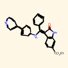 CCOC(=O)c1ccc2c(c1)NC(=O)C2=C(Nc1ccc(-c2ccncc2)cc1)c1ccccc1